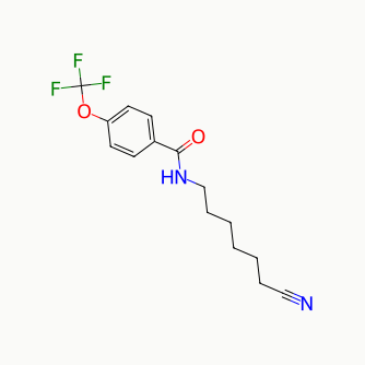 N#CCCCCCCNC(=O)c1ccc(OC(F)(F)F)cc1